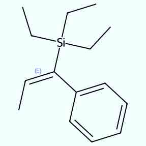 C/C=C(\c1ccccc1)[Si](CC)(CC)CC